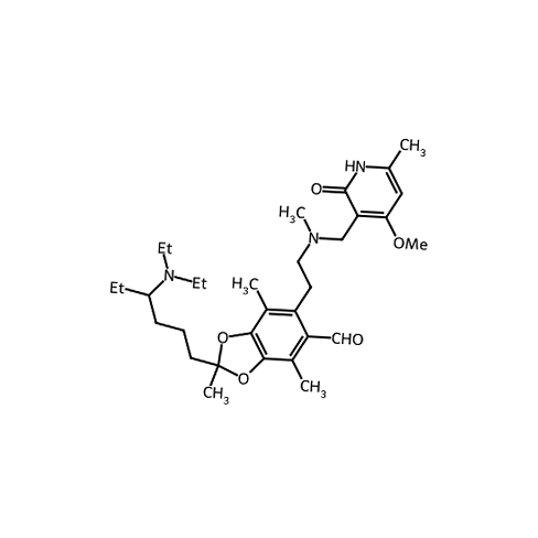 CCC(CCCC1(C)Oc2c(C)c(C=O)c(CCN(C)Cc3c(OC)cc(C)[nH]c3=O)c(C)c2O1)N(CC)CC